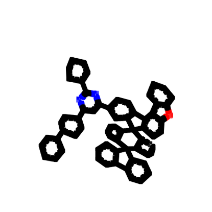 c1ccc(-c2ccc(-c3cc(-c4ccc5c(c4)C4(c6ccccc6C6(c7ccccc7-c7ccccc76)c6ccccc64)c4ccc6oc7ccccc7c6c4-5)nc(-c4ccccc4)n3)cc2)cc1